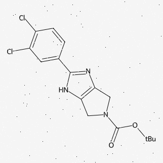 CC(C)(C)OC(=O)N1Cc2nc(-c3ccc(Cl)c(Cl)c3)[nH]c2C1